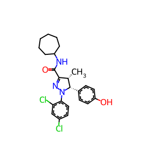 C[C@H]1C(C(=O)NC2CCCCCC2)=NN(c2ccc(Cl)cc2Cl)[C@H]1c1ccc(O)cc1